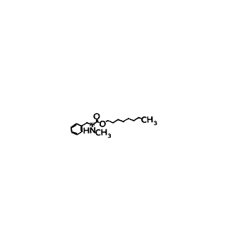 CCCCCCCCOC(=O)[C@H](Cc1ccccc1)NC